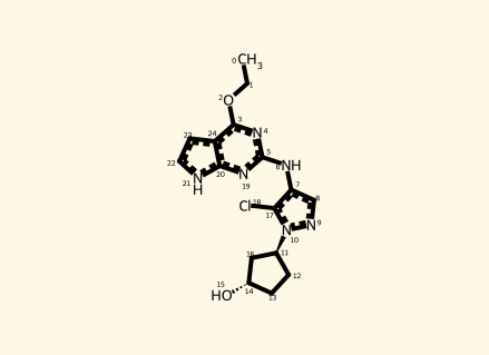 CCOc1nc(Nc2cnn([C@H]3CC[C@H](O)C3)c2Cl)nc2[nH]ccc12